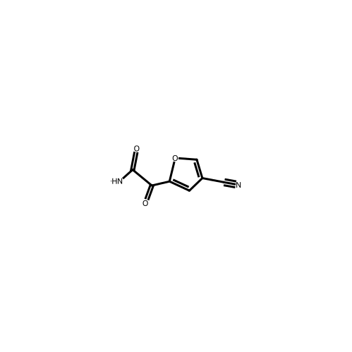 N#Cc1coc(C(=O)C([NH])=O)c1